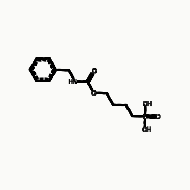 O=C(NCc1ccccc1)OCCCCP(=O)(O)O